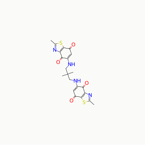 Cc1nc2c(s1)C(=O)C=C(NCC(C)(C)CNC1=CC(=O)c3sc(C)nc3C1=O)C2=O